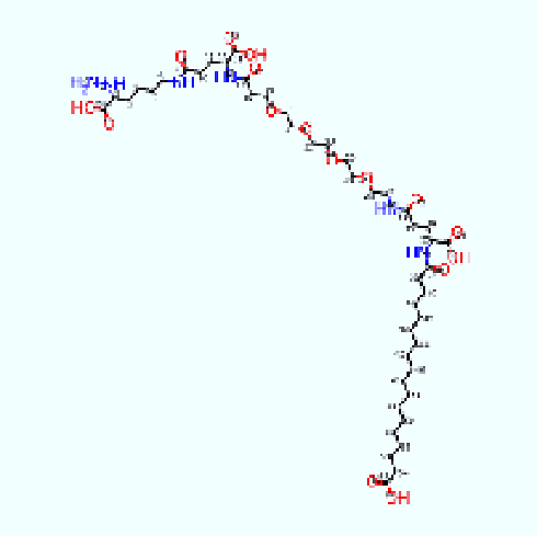 NN[C@@H](CCCCNC(=O)CC[C@H](NC(=O)CCOCCOCCOCCOCCNC(=O)CC[C@H](NC(=O)CCCCCCCCCCCCCCCCC(=O)O)C(=O)O)C(=O)O)C(=O)O